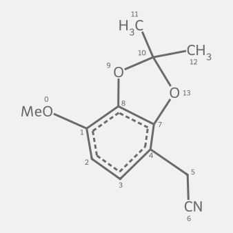 COc1ccc(CC#N)c2c1OC(C)(C)O2